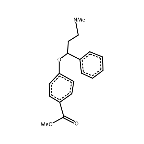 CNCCC(Oc1ccc(C(=O)OC)cc1)c1ccccc1